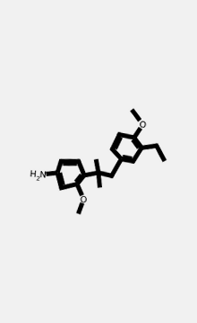 CCc1cc(CC(C)(C)c2ccc(N)cc2OC)ccc1OC